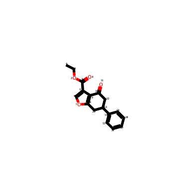 CCOC(=O)c1coc2c1C(=O)CC(c1ccccc1)C2